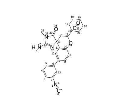 [C-]#[N+]c1cccc(-c2ccc3c(c2)C2(CC(C45CCC(CC4)OC5)O3)N=C(N)N(C)C2=O)c1